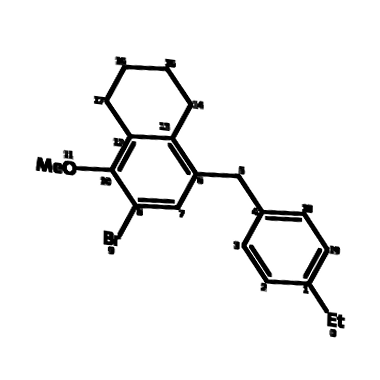 CCc1ccc(Cc2cc(Br)c(OC)c3c2CCCC3)cc1